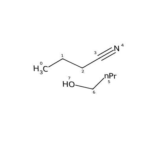 CCCC#N.CCCCO